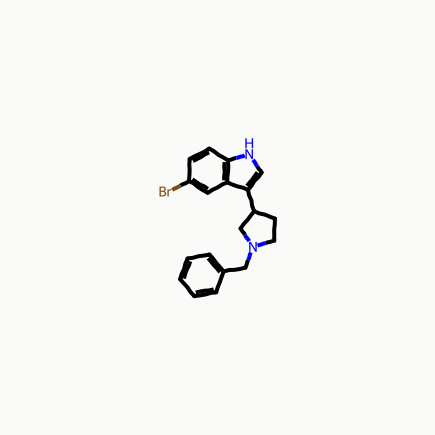 Brc1ccc2[nH]cc(C3CCN(Cc4ccccc4)C3)c2c1